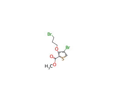 COC(=O)c1scc(Br)c1OCCCBr